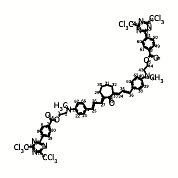 CN(CCOC(=O)c1ccc(-c2nc(C(Cl)(Cl)Cl)nc(C(Cl)(Cl)Cl)n2)cc1)c1ccc(/C=C/C=C2\CCCC/C(=C\C=C\c3ccc(N(C)CCOC(=O)c4ccc(-c5nc(C(Cl)(Cl)Cl)nc(C(Cl)(Cl)Cl)n5)cc4)cc3)C2=O)cc1